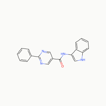 O=C(Nc1c[nH]c2ccccc12)c1cnc(-c2ccccc2)nc1